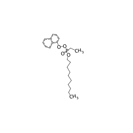 CCCCCCCCCCOP(=O)(CC)OOc1cccc2ccccc12